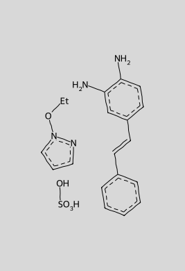 CCOn1cccn1.Nc1ccc(C=Cc2ccccc2)cc1N.O=S(=O)(O)O